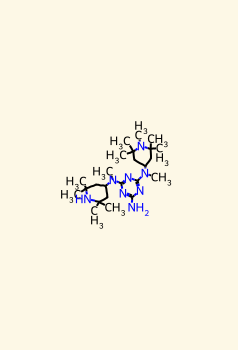 CN(c1nc(N)nc(N(C)C2CC(C)(C)N(C)C(C)(C)C2)n1)C1CC(C)(C)NC(C)(C)C1